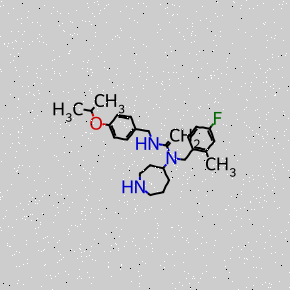 C=C(NCc1ccc(OC(C)C)cc1)N(Cc1ccc(F)cc1C)C1CCCNCC1